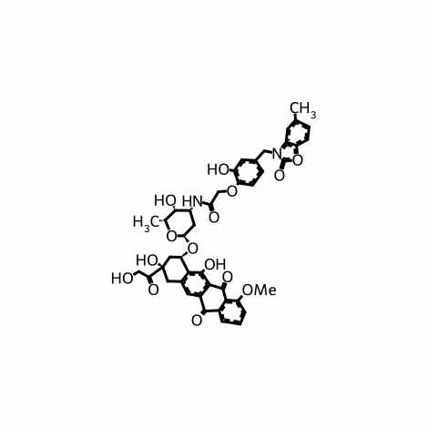 COc1cccc2c1C(=O)c1c(cc3c(c1O)[C@H](O[C@@H]1C[C@@H](NC(=O)COc4ccc(Cn5c(=O)oc6ccc(C)cc65)cc4O)[C@@H](O)[C@@H](C)O1)C[C@@](O)(C(=O)CO)C3)C2=O